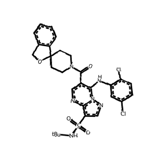 CC(C)(C)NS(=O)(=O)c1cnn2c(Nc3cc(Cl)ccc3Cl)c(C(=O)N3CCC4(CC3)OCc3ccccc34)cnc12